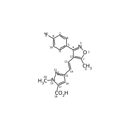 Cc1onc(-c2ccc(F)cc2)c1C=Cc1cc(C(=O)O)n(C)n1